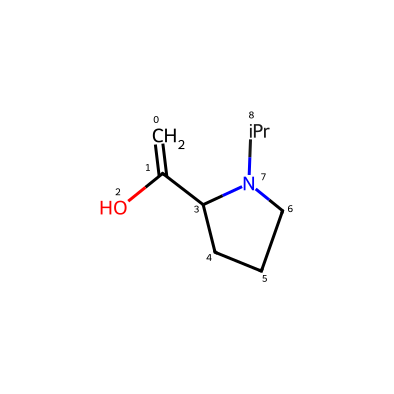 C=C(O)C1CCCN1C(C)C